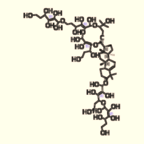 CC(C)(O)C1CC[C@H]([C@H]2CC[C@@]3(C)C4CC=C5C(CC[C@H](OC(O)/C(O)=C(\O)C(CCO)OC(O)/C(O)=C(/O)C(O)CCO)C5(C)C)[C@]4(C)CC[C@]23C)O/C(C(O)CCO)=C(/O)C(O)O/C(=C(/O)C(O)CCOC(O)/C(O)=C(\O)C(O)CCO)C(O)O1